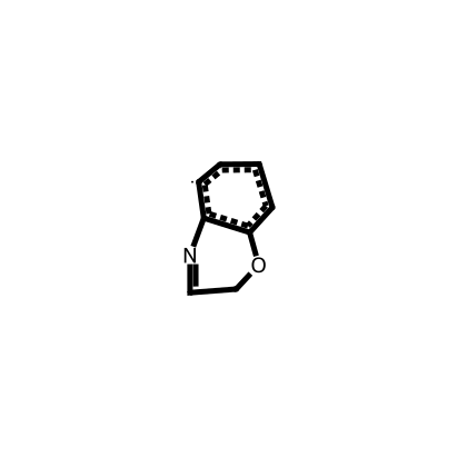 [c]1cccc2c1N=CCO2